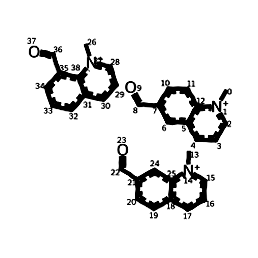 C[n+]1cccc2cc(C=O)ccc21.C[n+]1cccc2ccc(C=O)cc21.C[n+]1cccc2cccc(C=O)c21